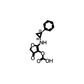 O=C(O)OC1=C(N[C@@H]2C[C@H]2c2ccccc2)OCC1=O